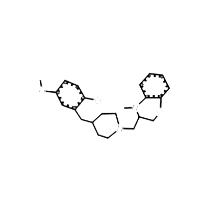 COc1ccc(Cl)c(CC2CCN(CC3COc4ccccc4N3C)CC2)c1